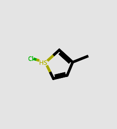 CC1=C[SH](Cl)C=C1